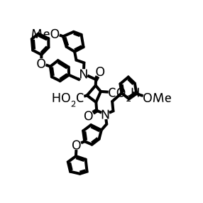 COc1cccc(CCN(Cc2ccc(Oc3ccccc3)cc2)C(=O)C2C(C(=O)O)C(C(=O)N(CCc3cccc(OC)c3)Cc3ccc(Oc4ccccc4)cc3)C2C(=O)O)c1